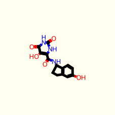 O=C(N[C@@H]1CCc2cc(O)ccc21)c1[nH]c(=O)[nH]c(=O)c1O